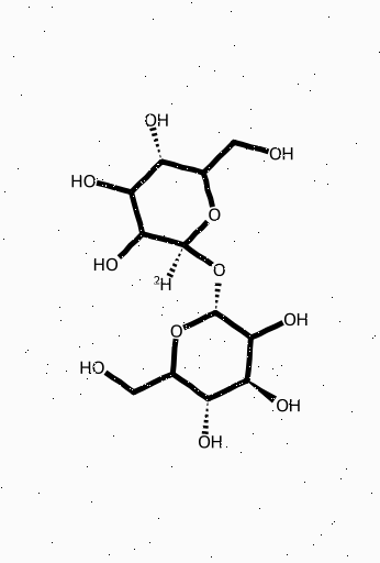 [2H][C@@]1(O[C@H]2OC(CO)[C@@H](O)[C@H](O)C2O)OC(CO)[C@@H](O)C(O)C1O